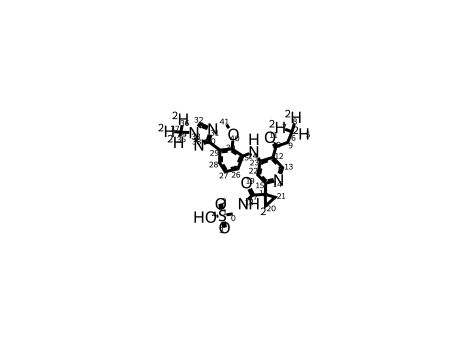 CS(=O)(=O)O.[2H]C([2H])([2H])CC(=O)c1cnc(C2(C(N)=O)CC2)cc1Nc1cccc(-c2ncn(C([2H])([2H])[2H])n2)c1OC